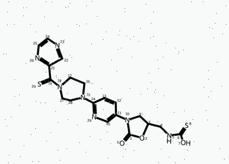 O=C1OC(CNC(O)=S)CN1c1ccc(N2CCN(C(=S)c3cnccn3)CC2)nc1